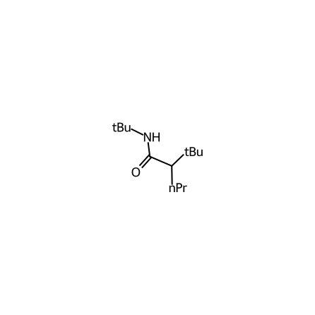 CCCC(C(=O)NC(C)(C)C)C(C)(C)C